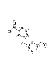 ClCc1cccc(Oc2cccc(C(Cl)Cl)c2)c1